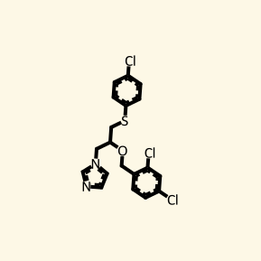 Clc1ccc(SCC(Cn2ccnc2)OCc2ccc(Cl)cc2Cl)cc1